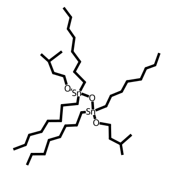 CCCCCCC[CH2][Sn]([CH2]CCCCCCC)([O]CCC(C)C)[O][Sn]([CH2]CCCCCCC)([CH2]CCCCCCC)[O]CCC(C)C